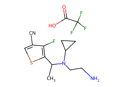 CC(c1scc(C#N)c1F)N(CCN)C1CC1.O=C(O)C(F)(F)F